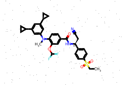 CCS(=O)(=O)c1ccc([C@H](CC#N)NC(=O)c2ccc(N(C)c3cc(C4CC4)cc(C4CC4)c3)c(OC(F)F)c2)cc1